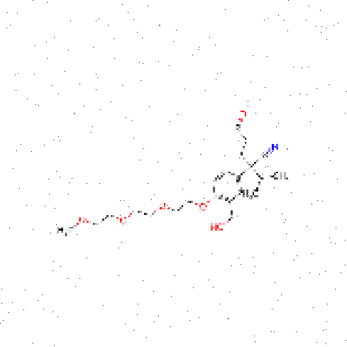 COCCOCCOCCOc1ccc(C(C#N)(CCC=O)C(C)C)cc1CO